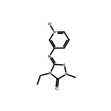 CCn1c(=O)n(C)s/c1=N\c1ccc[n+]([O-])c1